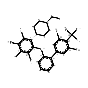 CC[C@H]1CC[C@H](c2c(F)c(F)c(C)c(F)c2Oc2ccccc2-c2cc(F)c(C(F)(F)F)c(F)c2)CC1